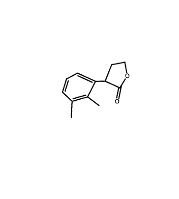 Cc1cccc(C2CCOC2=O)c1C